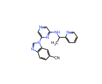 CC(Nc1cncc(-n2cnc3ccc(C#N)cc32)n1)c1ccccn1